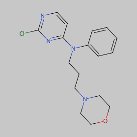 Clc1nccc(N(CCCN2CCOCC2)c2ccccc2)n1